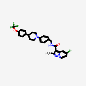 Cc1nn2ccc(Br)cc2c1C(=O)NCc1ccc(N2CCC(c3ccc(OC(F)(F)F)cc3)CC2)cc1